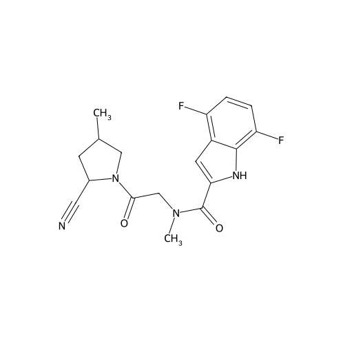 CC1CC(C#N)N(C(=O)CN(C)C(=O)c2cc3c(F)ccc(F)c3[nH]2)C1